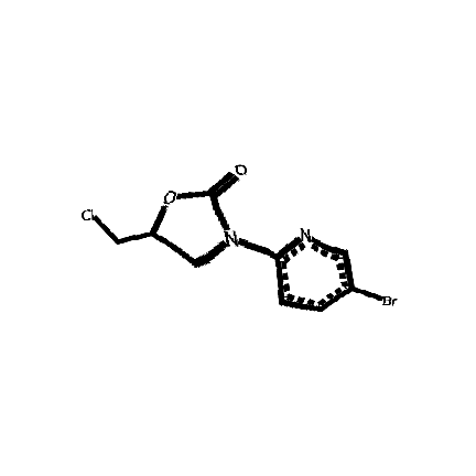 O=C1OC(CCl)CN1c1ccc(Br)cn1